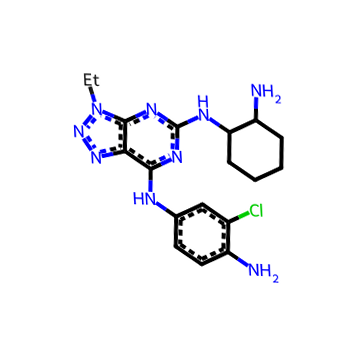 CCn1nnc2c(Nc3ccc(N)c(Cl)c3)nc(NC3CCCCC3N)nc21